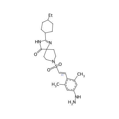 CCC1CCC(C2=NC3(CCN(S(=O)(=O)/C=C/c4c(C)cc(NN)cc4C)CC3)C(=O)N2)CC1